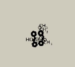 COC.COC(Cc1ccccc1)(OC)c1ccccc1.O=C(c1ccccc1)C(O)c1ccccc1